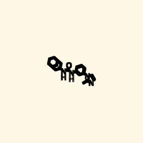 Cc1nccn1-c1cccc(NC(=O)NC23CC4CCCC(C4)(C2)C3)c1